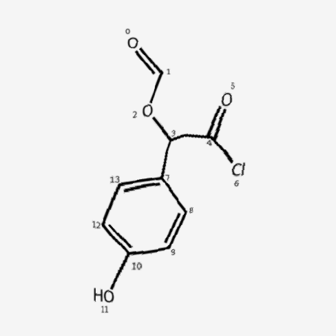 O=COC(C(=O)Cl)c1ccc(O)cc1